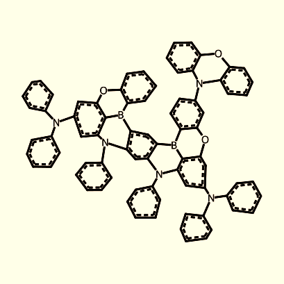 c1ccc(N(c2ccccc2)c2cc3c4c(c2)N(c2ccccc2)c2cc5c(cc2B4c2ccccc2O3)B2c3ccc(N4c6ccccc6Oc6ccccc64)cc3Oc3cc(N(c4ccccc4)c4ccccc4)cc(c32)N5c2ccccc2)cc1